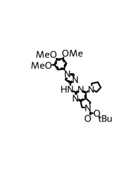 COc1cc(-n2cnc(Nc3nc4c(c(N5CCCC5)n3)CN(C(=O)OC(C)(C)C)C4)c2)cc(OC)c1OC